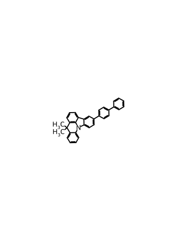 CC1(C)c2ccccc2-n2c3ccc(-c4ccc(-c5ccccc5)cc4)cc3c3cccc1c32